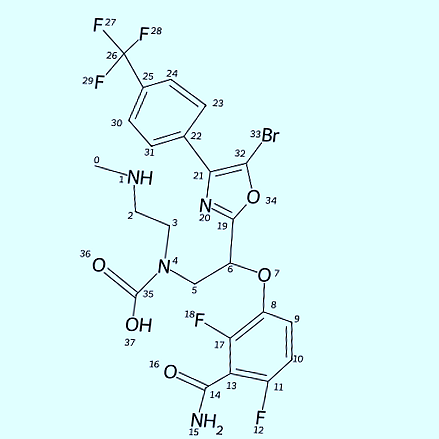 CNCCN(CC(Oc1ccc(F)c(C(N)=O)c1F)c1nc(-c2ccc(C(F)(F)F)cc2)c(Br)o1)C(=O)O